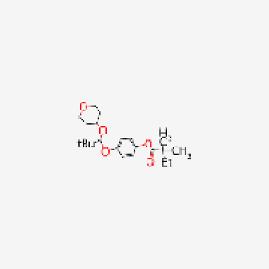 CCC(C)(C)C(=O)Oc1ccc(OC(OC2CCOCC2)C(C)(C)C)cc1